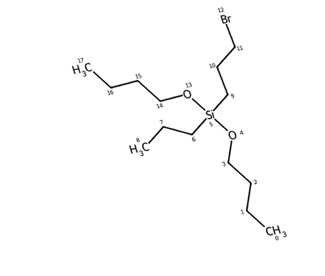 CCCCO[Si](CCC)(CCCBr)OCCCC